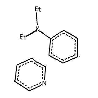 CCN(CC)c1cc[c]cc1.c1ccncc1